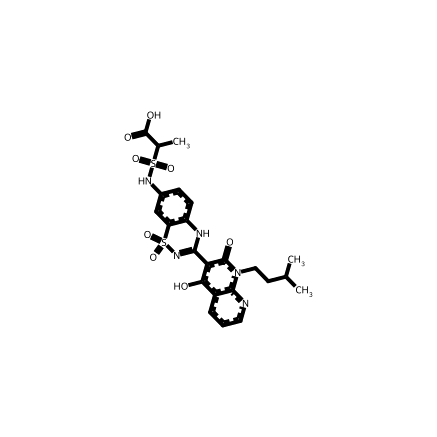 CC(C)CCn1c(=O)c(C2=NS(=O)(=O)c3cc(NS(=O)(=O)C(C)C(=O)O)ccc3N2)c(O)c2cccnc21